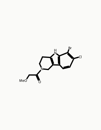 COCC(=O)N1CCc2[nH]c3c(Br)c(Cl)ccc3c2C1